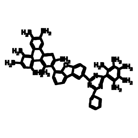 Bc1cc2c(cc1B)c1c(B)c(B)cc(B)c1c1c(B)c(-c3cccc4c3oc3ccc(-c5nc(-c6ccccc6)nc(-c6c(B)c(B)c(B)c(B)c6B)n5)cc34)c(B)cc21